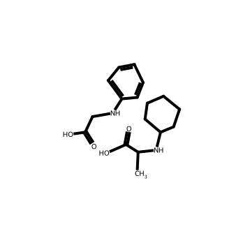 CC(NC1CCCCC1)C(=O)O.O=C(O)CNc1ccccc1